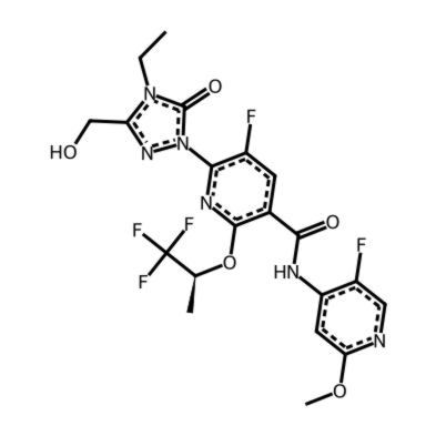 CCn1c(CO)nn(-c2nc(O[C@@H](C)C(F)(F)F)c(C(=O)Nc3cc(OC)ncc3F)cc2F)c1=O